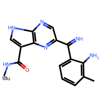 Cc1cccc(C(=N)c2cnc3[nH]cc(C(=O)NC(C)(C)C)c3n2)c1N